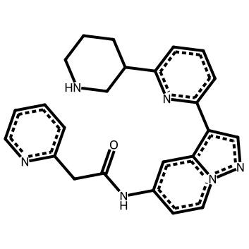 O=C(Cc1ccccn1)Nc1ccn2ncc(-c3cccc(C4CCCNC4)n3)c2c1